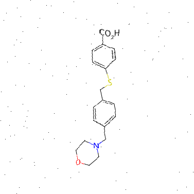 O=C(O)c1ccc(SCc2ccc(CN3CCOCC3)cc2)cc1